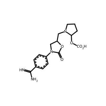 N=C(N)c1ccc(N2CC(CN3CCCC3OC(=O)O)OC2=O)cc1